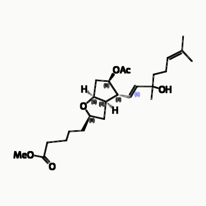 COC(=O)CCCC[C@@H]1C[C@@H]2[C@@H](/C=C/C(C)(O)CCC=C(C)C)[C@H](OC(C)=O)C[C@@H]2O1